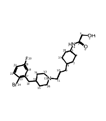 O=C(CO)NC1CCC(CCCN2CCC(Cc3cc(F)ccc3Br)CC2)CC1